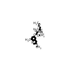 CO/N=C/C(C)(C)NC(=O)C(OC)Oc1cc(C)c2ncc(SC)cc2c1